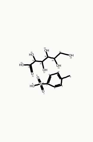 Cc1ccc(S(=O)(=O)O)cc1.O=C(O)C(O)C(O)C(O)C(O)CO